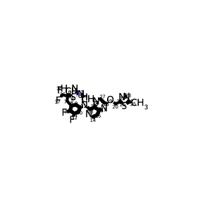 C/N=C(/N)S[C@](C)(Cc1cc(Nc2nccc3nc(OCc4nnc(C)s4)cnc23)cc(F)c1F)C(F)F